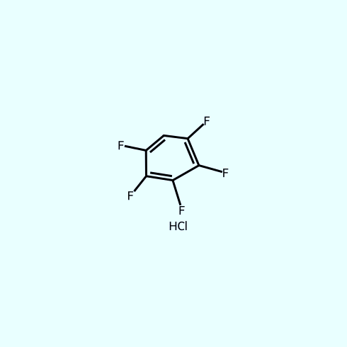 Cl.Fc1cc(F)c(F)c(F)c1F